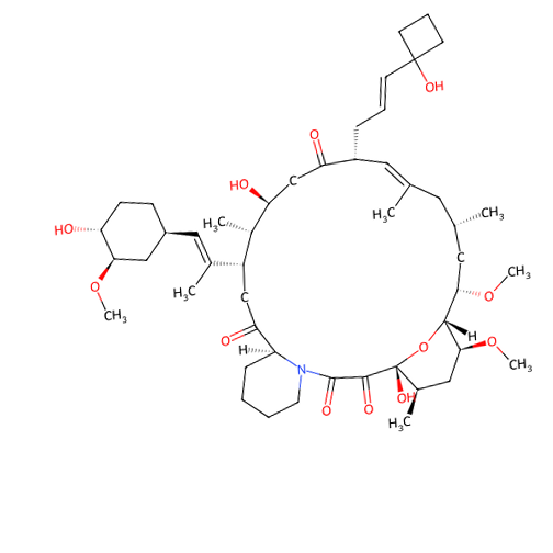 CO[C@H]1C[C@@H](C)C/C(C)=C/[C@@H](C/C=C/C2(O)CCC2)C(=O)C[C@H](O)[C@@H](C)[C@@H](/C(C)=C/[C@@H]2CC[C@@H](O)[C@H](OC)C2)CC(=O)[C@@H]2CCCCN2C(=O)C(=O)[C@]2(O)O[C@H]1[C@@H](OC)C[C@H]2C